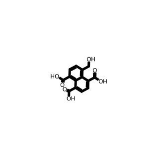 O=C(O)c1ccc(C(=O)O)c2c(C(=O)O)ccc(CO)c12